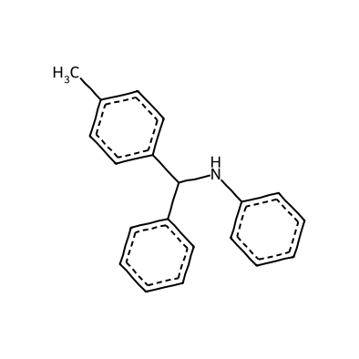 Cc1ccc(C(Nc2ccccc2)c2ccccc2)cc1